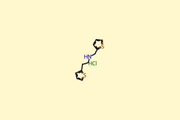 Cl.c1csc(CCNCc2cccs2)c1